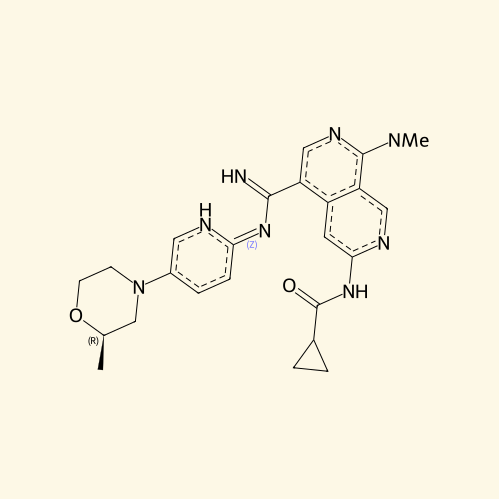 CNc1ncc(C(=N)/N=c2/ccc(N3CCO[C@H](C)C3)c[nH]2)c2cc(NC(=O)C3CC3)ncc12